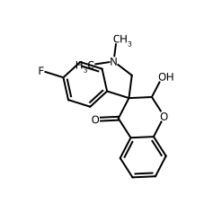 CN(C)CC1(c2ccc(F)cc2)C(=O)c2ccccc2OC1O